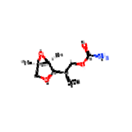 CO[C@H](COC(N)=O)[C@H]1OC[C@H]2O[C@@H]12